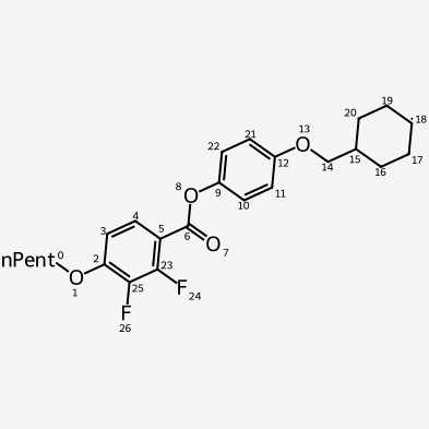 CCCCCOc1ccc(C(=O)Oc2ccc(OCC3CC[CH]CC3)cc2)c(F)c1F